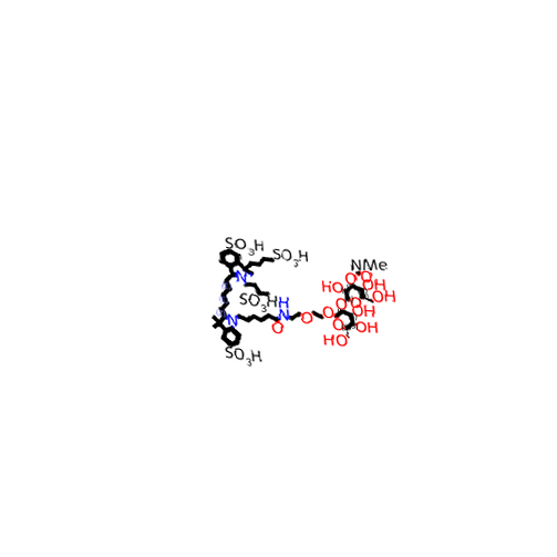 CNC(=O)O[C@@H]1[C@H](O)[C@@H](O[C@@H]2C(OCCOCCNC(=O)CCCCCN3\C(=C/C=C/C=C/C4=[N+](CCCCS(=O)(=O)O)C(C)(CCCCS(=O)(=O)O)c5cc(S(=O)(=O)O)ccc54)C(C)(C)c4cc(S(=O)(=O)O)ccc43)O[C@@H](CO)[C@@H](O)[C@@H]2O)O[C@H](CO)[C@H]1O